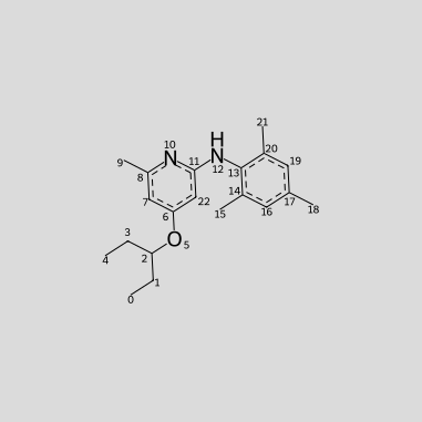 CCC(CC)Oc1cc(C)nc(Nc2c(C)cc(C)cc2C)c1